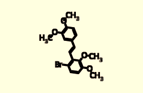 COc1ccc(C=Cc2c(Br)ccc(OC)c2OC)cc1OC